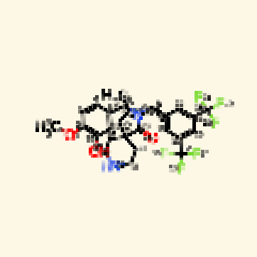 COc1ccc(CN(Cc2cc(C(F)(F)F)cc(C(F)(F)F)c2)C(=O)C2(CC(C)C)CCNCC2)cc1O